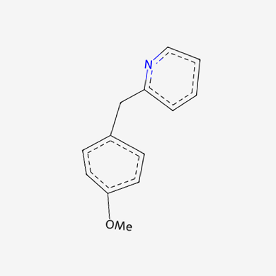 COc1ccc(Cc2ccccn2)cc1